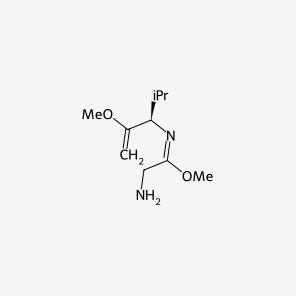 C=C(OC)[C@H](/N=C(\CN)OC)C(C)C